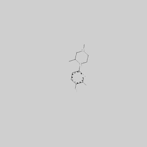 CC1CN(C)CCN1c1ccc(Cl)c(F)n1